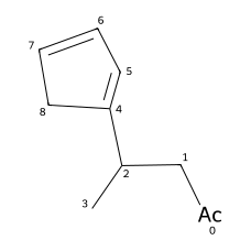 CC(=O)CC(C)C1=CC=CC1